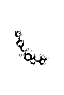 CC1=C(N2CC[C@]3(CC[C@@](C)(N(C)Cc4cnc(-n5cnnn5)cn4)CC3)C2=O)COC1=O